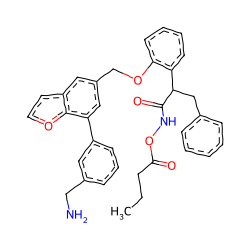 CCCC(=O)ONC(=O)C(Cc1ccccc1)c1ccccc1OCc1cc(-c2cccc(CN)c2)c2occc2c1